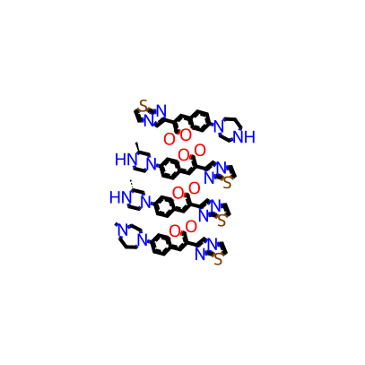 CN1CCCN(c2ccc3cc(-c4cn5ccsc5n4)c(=O)oc3c2)CC1.C[C@@H]1CN(c2ccc3cc(-c4cn5ccsc5n4)c(=O)oc3c2)CCN1.C[C@H]1CN(c2ccc3cc(-c4cn5ccsc5n4)c(=O)oc3c2)CCN1.O=c1oc2cc(N3CCCNCC3)ccc2cc1-c1cn2ccsc2n1